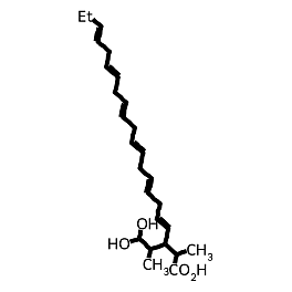 CCC=CCC=CCC=CCC=CCC=CCC=CC(C(C)C(=O)O)C(C)C(O)O